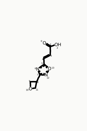 O=C(O)C=Cc1nc(C2COC2)no1